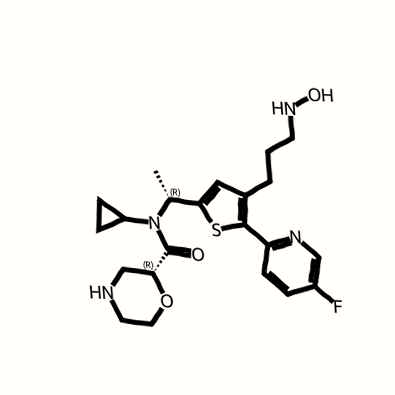 C[C@H](c1cc(CCCNO)c(-c2ccc(F)cn2)s1)N(C(=O)[C@H]1CNCCO1)C1CC1